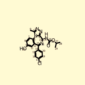 Cc1nnc2n1-c1ccc(O)cc1C(c1ccc(Cl)cc1)=N[C@@H]2NC(=O)OC(C)C